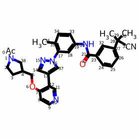 CC(=O)N1CCC(COc2ccncc2-c2cnn(-c3cc(NC(=O)c4cccc(C(C)(C)C#N)c4)ccc3C)c2)C1